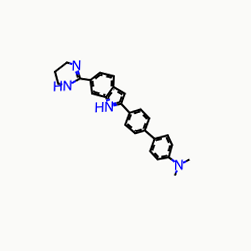 CN(C)c1ccc(-c2ccc(-c3cc4ccc(C5=NCCCN5)cc4[nH]3)cc2)cc1